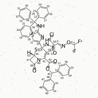 O=C(C=NOC(F)F)NC1(c2csc(NC(c3ccccc3)(c3ccccc3)c3ccccc3)n2)S[C@H]2CC(=O)N2C(C(=O)OC(c2ccccc2)c2ccccc2)=C1/C=C\CCl